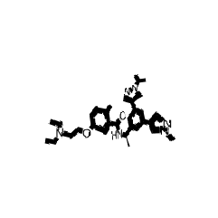 CCN(CC)CCOc1ccc(C)c(C(=O)N[C@H](C)c2cc(-c3cnn(C)c3)cc(-c3cnn(C(C)C)c3)c2)c1